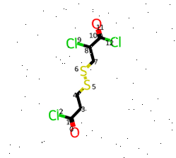 O=C(Cl)CCSSCC(Cl)C(=O)Cl